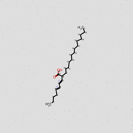 CCCC/C=C/C=C/C(CCCCCCCCCCCCCC)C(=O)O